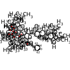 CC[Si](CC)(CC)OCC1O[C@@H](OC2C(O[C@@H]3OCC(O[Si](CC)(CC)CC)C(O[Si](CC)(CC)CC)C3O[Si](CC)(CC)CC)C(O[Si](CC)(CC)CC)C(C(=O)OCc3ccccc3)O[C@H]2O[C@H]2CCC3(C)C(CCC4(C)C3CC=C3C(I)[C@@](CCC(C)(C)C)(C(=O)O)C(O[Si](CC)(CC)CC)CC34C)C2(C)C=O)C(O[Si](CC)(CC)CC)C(O[Si](CC)(CC)CC)C1O[Si](CC)(CC)CC